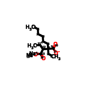 CCCCCCC(CC)(C(=O)[O-])C(CC)C(=O)[O-].[Na+].[Na+]